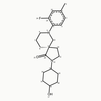 Cc1ccc(N2CCC[C@@]3(CCN(C4CCC(O)CC4)C3=O)C2)c(F)c1